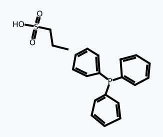 CCCS(=O)(=O)O.c1ccc(P(c2ccccc2)c2ccccc2)cc1